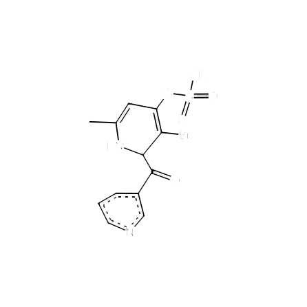 CC1=CC(OS(=O)(=O)C(F)(F)F)=C(Br)C(C(=O)c2cccnc2)N1